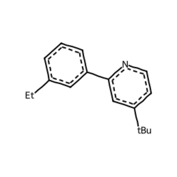 CCc1cccc(-c2cc(C(C)(C)C)ccn2)c1